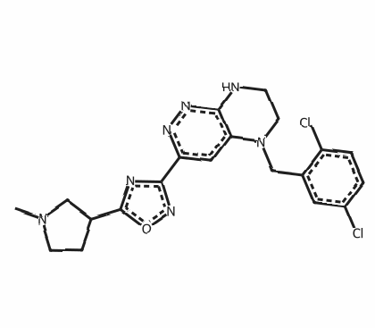 CN1CCC(c2nc(-c3cc4c(nn3)NCCN4Cc3cc(Cl)ccc3Cl)no2)C1